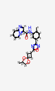 Cc1ccc(-c2noc(C3CC4(C3)OCC(C)O4)n2)cc1NC(=O)c1cnc2ccccn12